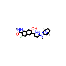 CNC(=O)c1cc2cc(O)c(-c3ccc(N(C)[C@H]4C[C@]5(C)CC[C@](C)(C4)N5)nn3)cc2cc1F